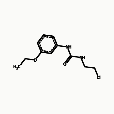 CCOc1cccc(NC(=O)NCCCl)c1